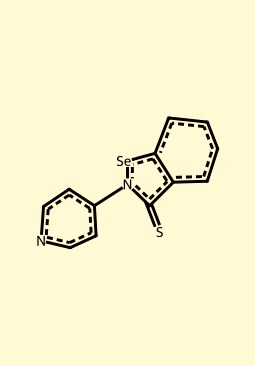 S=c1c2ccccc2[se]n1-c1ccncc1